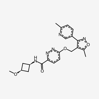 CO[C@H]1C[C@@H](NC(=O)c2ccc(OCc3c(-c4ccc(C)nc4)noc3C)nn2)C1